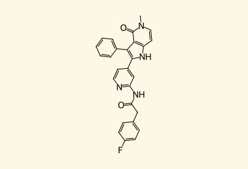 Cn1ccc2[nH]c(-c3ccnc(NC(=O)Cc4ccc(F)cc4)c3)c(-c3ccccc3)c2c1=O